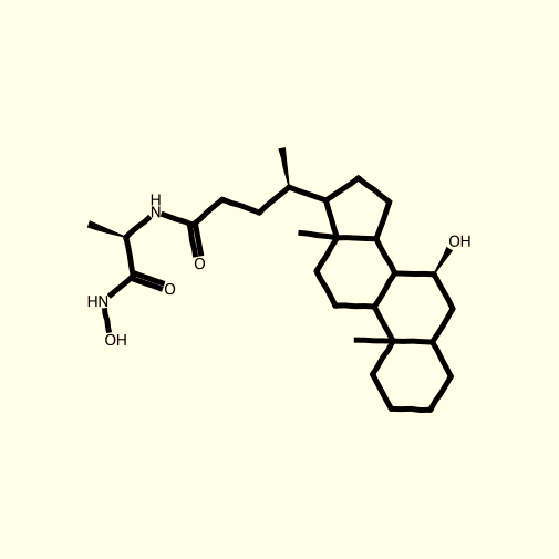 C[C@H](CCC(=O)N[C@H](C)C(=O)NO)C1CCC2C3C(CCC21C)C1(C)CCCCC1C[C@@H]3O